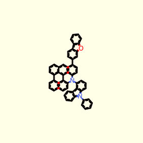 c1ccc(-c2cccc3cccc(-c4ccccc4N(c4ccc(-c5ccc6c(c5)oc5ccccc56)cc4)c4cccc5c4c4ccccc4n5-c4ccccc4)c23)cc1